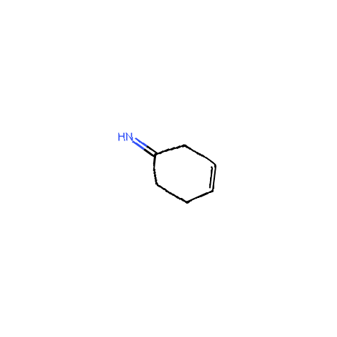 N=C1CC=CCC1